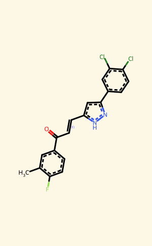 Cc1cc(C(=O)/C=C/c2cc(-c3ccc(Cl)c(Cl)c3)n[nH]2)ccc1F